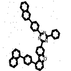 c1ccc(-c2nc(-c3ccc(-c4ccc5ccccc5c4)cc3)nc(-c3ccc4c(c3)oc3cccc(-c5ccc(-c6cccc7ccccc67)cc5)c34)n2)cc1